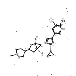 CN1CCN(C2C[C@@H]3[C@H](C2)[C@H]3n2cc(-c3cnc(N)c(C(F)(F)F)c3)nc2C2CC2)CC1